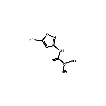 CCCc1cc(NC(=O)N(CCC)CCC)no1